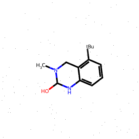 CN1Cc2c(cccc2C(C)(C)C)NC1O